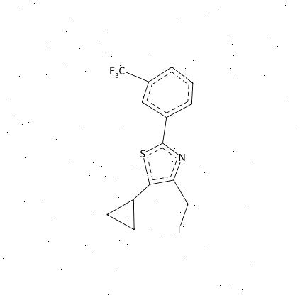 FC(F)(F)c1cccc(-c2nc(CI)c(C3CC3)s2)c1